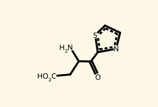 NC(CC(=O)O)C(=O)c1nccs1